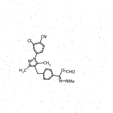 CN/N=C(\OC=O)c1ccc(Cc2c(C)nn(-c3ccc(C#N)c(Cl)c3)c2C)cc1